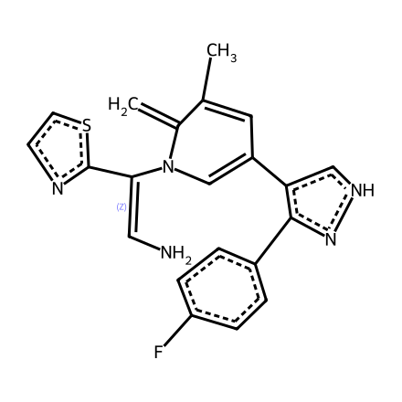 C=C1C(C)=CC(c2c[nH]nc2-c2ccc(F)cc2)=CN1/C(=C\N)c1nccs1